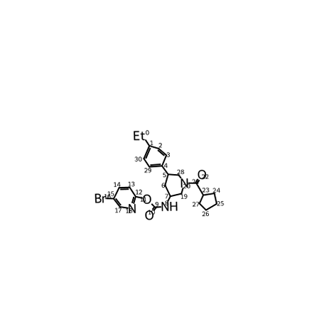 CCc1ccc(C2CC(NC(=O)Oc3ccc(Br)cn3)CN(C(=O)C3CCCC3)C2)cc1